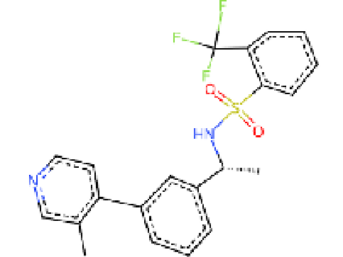 Cc1cnccc1-c1cccc([C@@H](C)NS(=O)(=O)c2ccccc2C(F)(F)F)c1